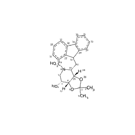 CC1(C)O[C@@H]2[C@H](O)CN(C(=O)O)C(CC3c4ccccc4-c4ccccc43)[C@@H]2O1